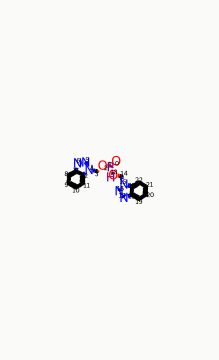 O=[PH](OCn1nnc2ccccc21)OCn1nnc2ccccc21